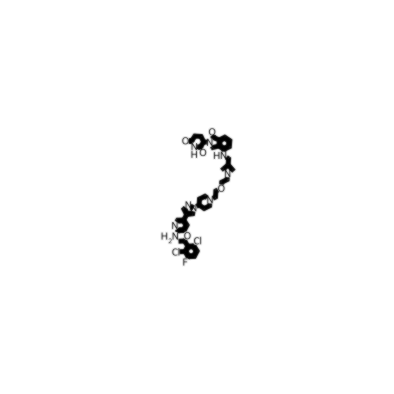 CC(Oc1cc(-c2cnn(C3CCN(CCOCCN4CC(CNc5cccc6c5CN(C5CCC(=O)NC5=O)C6=O)C4)CC3)c2)cnc1N)c1c(Cl)ccc(F)c1Cl